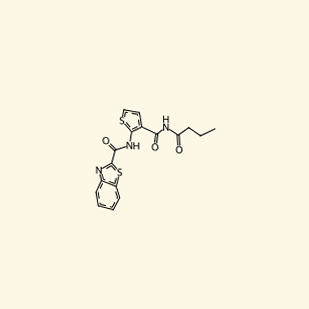 CCCC(=O)NC(=O)c1ccsc1NC(=O)c1nc2ccccc2s1